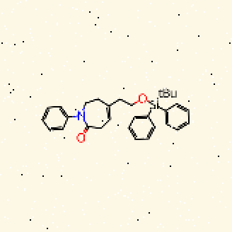 CC(C)(C)[Si](OCCC1=CCC(=O)N(c2ccccc2)CC1)(c1ccccc1)c1ccccc1